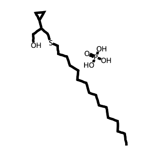 CCCCCCCCCCCCCCCCSCC(CO)C1CC1.O=P(O)(O)O